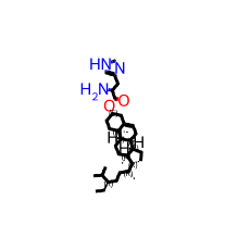 CC[C@H](CC[C@@H](C)[C@H]1CC[C@H]2[C@@H]3CC=C4C[C@@H](OC(=O)C(N)Cc5c[nH]cn5)CC[C@]4(C)[C@H]3CC[C@]12C)C(C)C